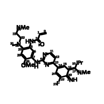 C=CC(=O)Nc1cc(Nc2nccc(C3=C/C(=C(/NC)C(C)C)C(=N)C(F)=C3)n2)c(OC)cc1N(C)CCNC